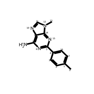 Cc1ccc(-c2nc(N)c3ncn(C)c3n2)cc1